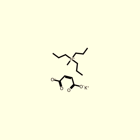 CCC[N+](C)(CCC)CCC.O=C([O-])/C=C\C(=O)[O-].[K+]